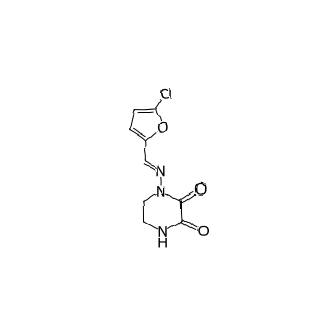 O=C1NCCN(N=Cc2ccc(Cl)o2)C1=O